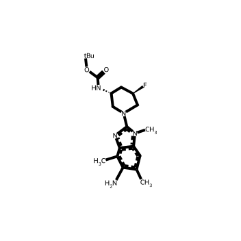 Cc1cc2c(nc(N3C[C@H](F)C[C@@H](NC(=O)OC(C)(C)C)C3)n2C)c(C)c1N